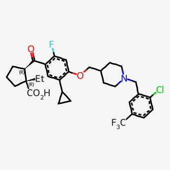 CC[C@@]1(C(=O)O)CCC[C@H]1C(=O)c1cc(C2CC2)c(OCC2CCN(Cc3cc(C(F)(F)F)ccc3Cl)CC2)cc1F